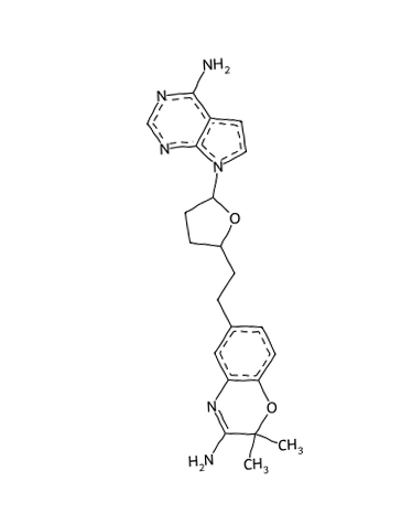 CC1(C)Oc2ccc(CCC3CCC(n4ccc5c(N)ncnc54)O3)cc2N=C1N